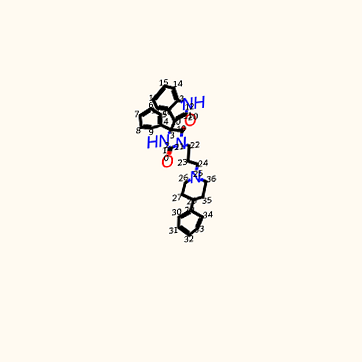 O=C1NC(c2ccccc2)(c2c[nH]c3ccccc23)C(=O)N1CCCN1CCC(c2ccccc2)CC1